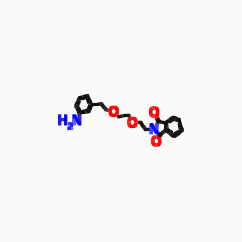 Nc1cccc(CCOCCOCCN2C(=O)c3ccccc3C2=O)c1